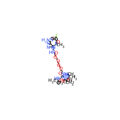 CC[C@H](NC(=O)[C@H]1C[C@@H](NC(=O)CCOCCOCCOCCOCCC(=O)NCCn2nc3c(c2C#N)-c2cnc(N)c(c2)N2CCC[C@@H]2c2cc(F)ccc2C(=O)N(C)C3)CN1C(=O)[C@H](NC(=O)[C@@H](C)NC)C(C)(C)C)c1ccccc1